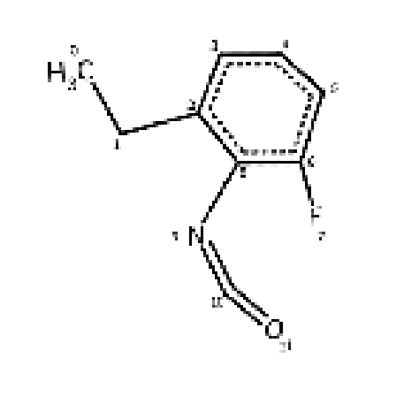 CCc1cccc(F)c1N=C=O